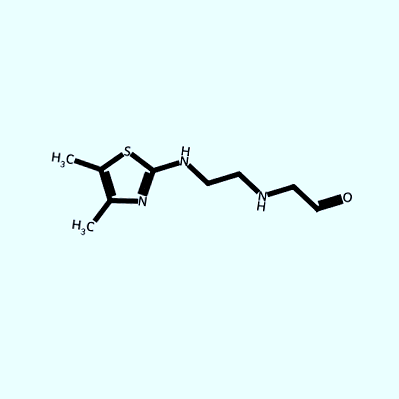 Cc1nc(NCCNC[C]=O)sc1C